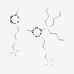 CCC[CH2][Sn]([CH2]CCC)([CH2]CCC)[c]1cc(C)nn1CCOC[Si](C)(C)C.Cc1ccn(CCOC[Si](C)(C)C)n1